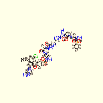 C[C@H](NC(=O)NCCCCNC(=O)N[C@@H](C)C(=O)N1CC[C@H](NS(=O)(=O)c2ccc(O[C@H]3c4cc(Cl)cc(C#N)c4C[C@@H]3N3CCNCC3)cc2)C1)C(=O)N1CC[C@H](NS(=O)(=O)c2ccccc2)C1